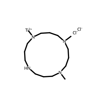 CN1CCCNCCC[N]([Ti+2])CCCN(C)CCC1.[Cl-].[Cl-]